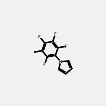 Cc1c(F)c(F)c(F)c(-n2cccc2)c1F